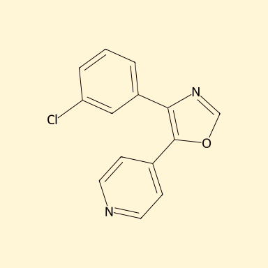 Clc1cccc(-c2ncoc2-c2ccncc2)c1